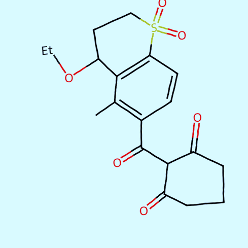 CCOC1CCS(=O)(=O)c2ccc(C(=O)C3C(=O)CCCC3=O)c(C)c21